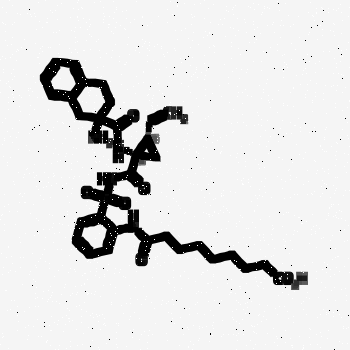 C=C[C@@H]1C[C@@]1(NC(=O)C1(N)CCc2ccccc2C1)C(=O)NS(=O)(=O)c1ccccc1NC(=O)CCCCCCCC(=O)O